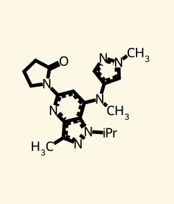 Cc1nn(C(C)C)c2c(N(C)c3cnn(C)c3)cc(N3CCCC3=O)nc12